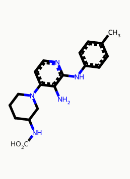 Cc1ccc(Nc2nccc(N3CCCC(NC(=O)O)C3)c2N)cc1